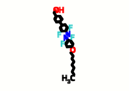 CCCCCCCCCOc1cc(F)c(N=Nc2c(F)cc(-c3ccc(CO)cc3)cc2F)c(F)c1